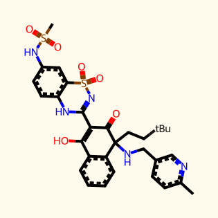 Cc1ccc(CNC2(CCC(C)(C)C)C(=O)C(C3=NS(=O)(=O)c4cc(NS(C)(=O)=O)ccc4N3)=C(O)c3ccccc32)cn1